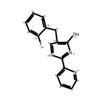 Oc1nc(-c2ccccn2)ncc1Cc1ccccc1F